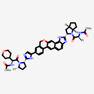 CC[C@H]1CC[C@@H](c2ncc(-c3ccc4c(c3)COc3cc5c(ccc6nc([C@@H]7C[C@@H]8CCC[C@@H]8N7C(=O)[C@@H](NC(=O)OC)C(C)C)[nH]c65)cc3-4)[nH]2)N1C(=O)[C@@H](NC(=O)OC)C1CCOCC1